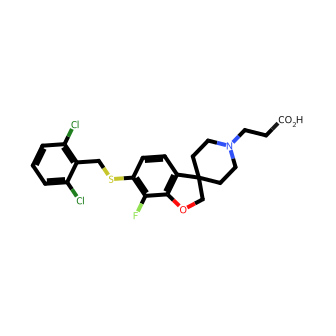 O=C(O)CCN1CCC2(CC1)COc1c2ccc(SCc2c(Cl)cccc2Cl)c1F